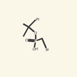 CC(C)C(C)(C)OP(=O)(O)CBr